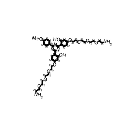 COc1ccc(-c2nc(-c3ccc(OCCOCCOCCOCCN)cc3O)nc(-c3ccc(OCCOCCOCCOCCN)cc3O)n2)cc1